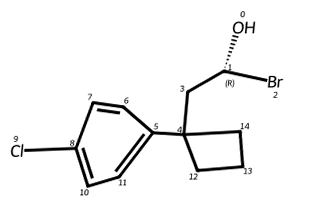 O[C@H](Br)CC1(c2ccc(Cl)cc2)CCC1